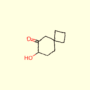 O=C1CC2(CCC2)CCC1O